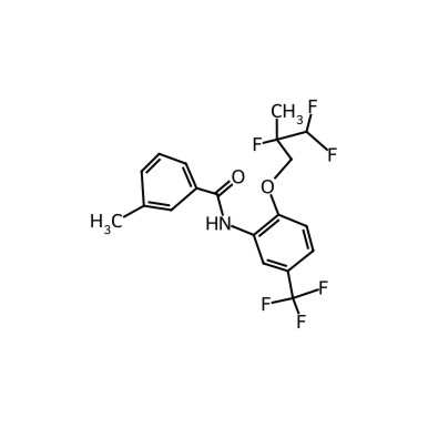 Cc1cccc(C(=O)Nc2cc(C(F)(F)F)ccc2OCC(C)(F)C(F)F)c1